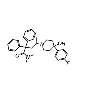 CC(CC(C(=O)N(C)C)(c1ccccc1)c1ccccc1)N1CCC(O)(c2ccc(F)cc2)CC1